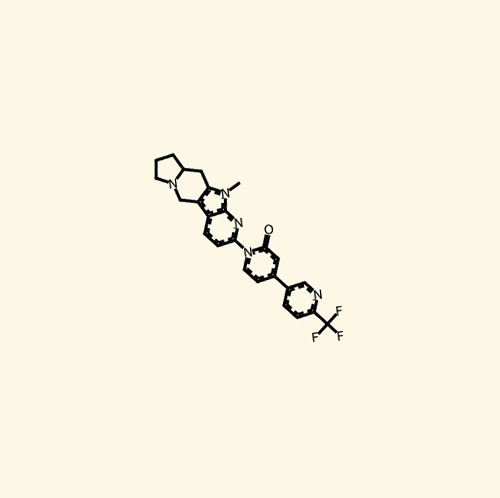 Cn1c2c(c3ccc(-n4ccc(-c5ccc(C(F)(F)F)nc5)cc4=O)nc31)CN1CCCC1C2